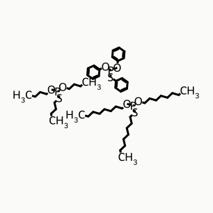 CCCCCCCCOP(OCCCCCCCC)SCCCCCCCC.CCCCOP(OCCCC)SCCCC.c1ccc(OP(Oc2ccccc2)Sc2ccccc2)cc1